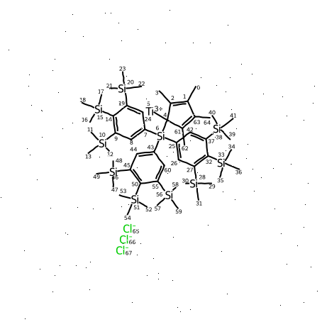 CC1=C(C)[C]([Ti+3])([Si](c2cc([Si](C)(C)C)c([Si](C)(C)C)c([Si](C)(C)C)c2)(c2cc([Si](C)(C)C)c([Si](C)(C)C)c([Si](C)(C)C)c2)c2cc([Si](C)(C)C)c([Si](C)(C)C)c([Si](C)(C)C)c2)C(C)=C1C.[Cl-].[Cl-].[Cl-]